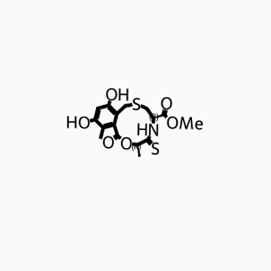 COC(=O)[C@@H]1CSCc2c(O)cc(O)c(C)c2C(=O)O[C@H](C)C(=S)N1